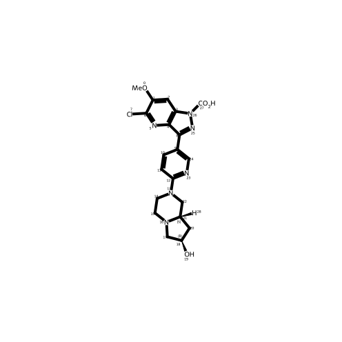 COc1cc2c(nc1Cl)c(-c1ccc(N3CCN4C[C@H](O)C[C@H]4C3)nc1)nn2C(=O)O